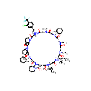 CC[C@H](C)[C@@H]1NC(=O)[C@H](CC(C)C)N(C)C(=O)C[C@@H](C(=O)N2CCCCC2)N(C)C(=O)[C@H](CC2CCCCC2)N(C)C(=O)C2(CCCC2)NC(=O)[C@@H]2CCCN2C(=O)[C@H](CCc2ccc(C(F)(F)F)c(Cl)c2)NC(=O)CN(C)C(=O)[C@H](CC2CCCCC2)N(C)C(=O)CN(C)C(=O)CN(C)C1=O